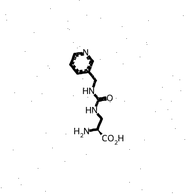 N[C@@H](CNC(=O)NCc1cccnc1)C(=O)O